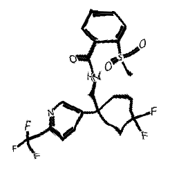 CS(=O)(=O)c1ccccc1C(=O)NCC1(c2ccc(C(F)(F)F)nc2)CCC(F)(F)CC1